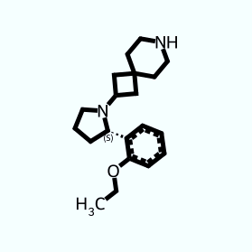 CCOc1ccccc1[C@@H]1CCCN1C1CC2(CCNCC2)C1